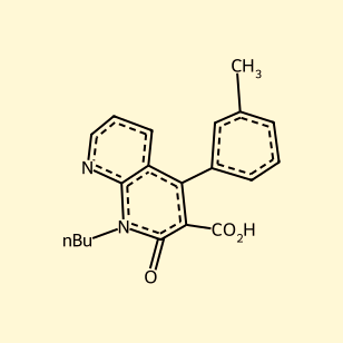 CCCCn1c(=O)c(C(=O)O)c(-c2cccc(C)c2)c2cccnc21